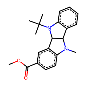 COC(=O)c1ccc2c(c1)C1C(c3ccccc3N1C(C)(C)C)N2C